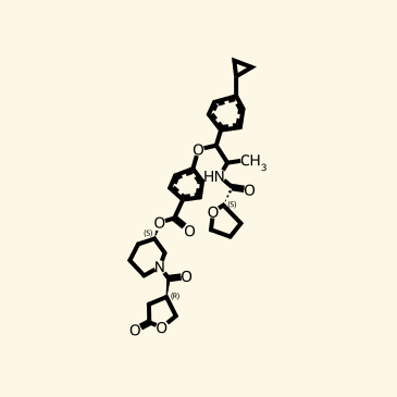 CC(NC(=O)[C@@H]1CCCO1)C(Oc1ccc(C(=O)O[C@H]2CCCN(C(=O)[C@H]3COC(=O)C3)C2)cc1)c1ccc(C2CC2)cc1